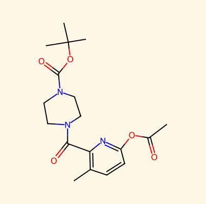 CC(=O)Oc1ccc(C)c(C(=O)N2CCN(C(=O)OC(C)(C)C)CC2)n1